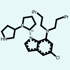 CC(C)CCN(CCC(C)C)c1cc(Cl)cc2ccn([C@H]3CCCN3C3CCNC3)c12